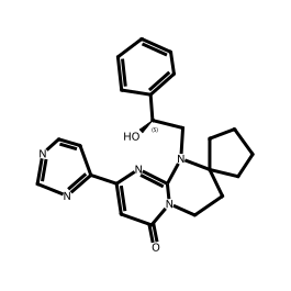 O=c1cc(-c2ccncn2)nc2n1CCC1(CCCC1)N2C[C@@H](O)c1ccccc1